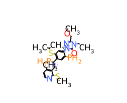 CCn1c(COC)nn(-c2cc(SC(C)C)c(/C(P)=C/c3c(C)ccnc3SC)cc2P)c1=O